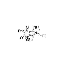 CCCCn1c(=O)n(CC)c(=O)c2c(N)n(CCCl)nc21